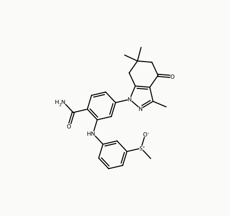 Cc1nn(-c2ccc(C(N)=O)c(Nc3cccc([S+](C)[O-])c3)c2)c2c1C(=O)CC(C)(C)C2